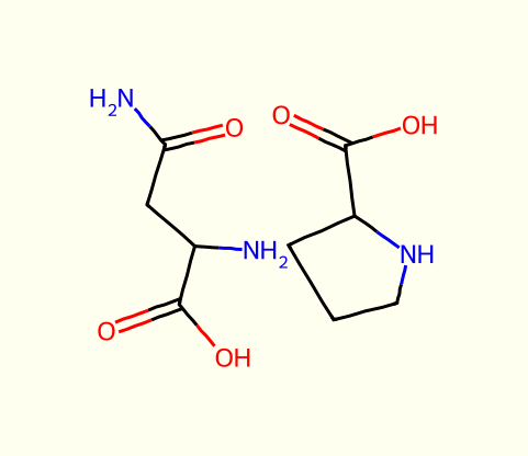 NC(=O)CC(N)C(=O)O.O=C(O)C1CCCN1